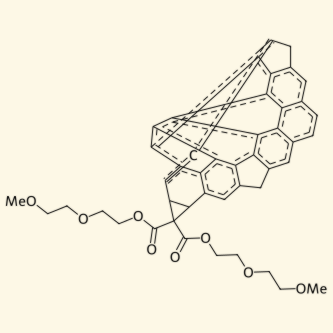 COCCOCCOC(=O)C1(C(=O)OCCOCCOC)C2c3cc4c5c6c(cc7ccc8cc9c%10c%11c(cc(c%12c3c5c(c%12%11)c3c6c7c8c%103)C21)C9)C4